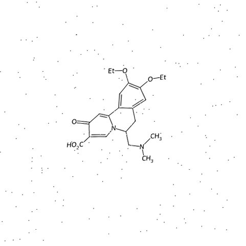 CCOc1cc2c(cc1OCC)-c1cc(=O)c(C(=O)O)cn1C(CN(C)C)C2